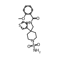 COc1ccccc1C(=O)NCC1(c2ccsc2)CCN(S(N)(=O)=O)CC1